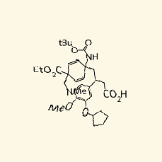 CCOC(=O)C1(CNC)C=CC(CC(CC(=O)O)c2ccc(OC)c(OC3CCCC3)c2)(NC(=O)OC(C)(C)C)C=C1